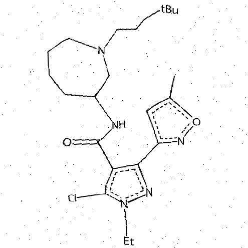 CCn1nc(-c2cc(C)on2)c(C(=O)NC2CCCCN(CCC(C)(C)C)C2)c1Cl